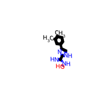 Cc1ccc(-c2c[nH]c(C(=N)NO)n2)cc1C